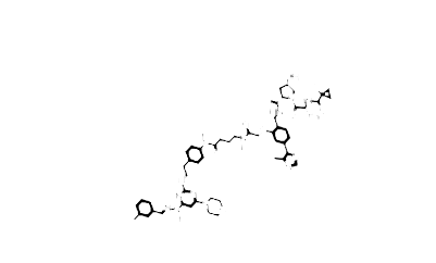 Cc1cccc(/C=N/Nc2cc(N3CCOCC3)nc(OCCc3ccc(NC(=O)CCCNC(=O)COc4cc(-c5scnc5C)ccc4CNC(=O)[C@@H]4C[C@@H](O)CN4C(=O)[C@@H](NC(=O)C4(F)CC4)C(C)(C)C)cc3)n2)c1